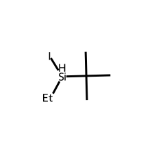 CC[SiH](I)C(C)(C)C